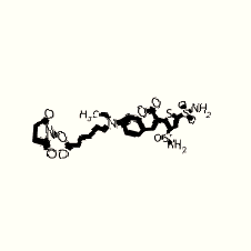 CCN(CCCCCC(=O)ON1C(=O)CCC1=O)c1ccc2cc(-c3sc(S(N)(=O)=O)cc3[S+](N)[O-])c(=O)oc2c1